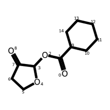 O=C(OC1OCCC1=O)C1CCCCC1